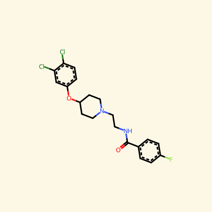 O=C(NCCN1CCC(Oc2ccc(Cl)c(Cl)c2)CC1)c1ccc(F)cc1